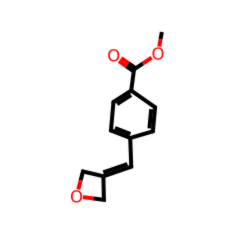 COC(=O)c1ccc(C=C2COC2)cc1